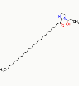 C=CC(O)N1CCN=C1C(=O)CCCCCCCCCCCCCCCCCCCCCCC